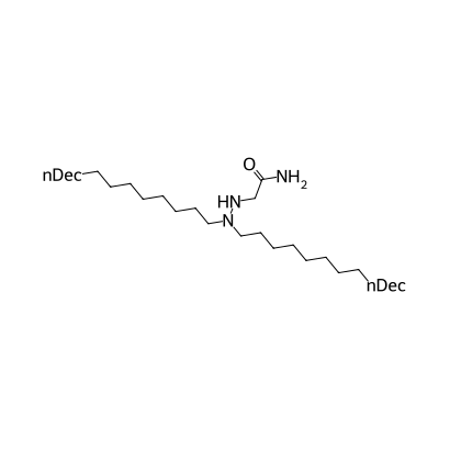 CCCCCCCCCCCCCCCCCCN(CCCCCCCCCCCCCCCCCC)NCC(N)=O